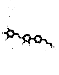 C=CCCc1ccc(-c2ccc(CCc3cc(F)c(F)c(F)c3)c(F)c2F)cc1